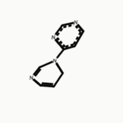 [c]1nccc(N2C=NC=CC2)n1